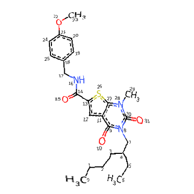 CCCCC(CC)Cn1c(=O)c2cc(C(=O)NCc3ccc(OC)cc3)sc2n(C)c1=O